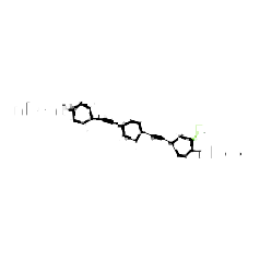 CCCCCCc1ccc(C#Cc2ccc(C#Cc3ccc(CCCCC)cc3)cc2)cc1F